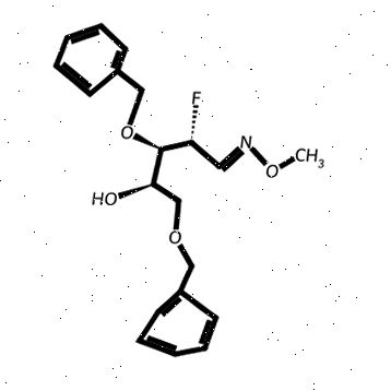 CO/N=C/[C@@H](F)[C@H](OCc1ccccc1)[C@H](O)COCc1ccccc1